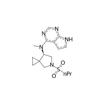 CCCS(=O)(=O)N1C[C@H](N(C)c2ncnc3[nH]ccc23)C2(CC2)C1